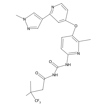 Cc1nc(NC(=O)NC(=O)CC(C)(C)C(F)(F)F)ccc1Oc1ccnc(-c2cnn(C)c2)c1